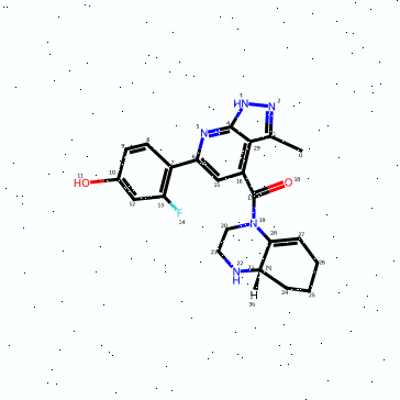 Cc1n[nH]c2nc(-c3ccc(O)cc3F)cc(C(=O)N3CCN[C@H]4CCCC=C43)c12